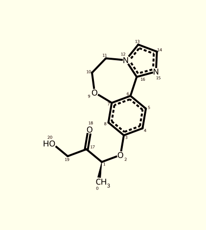 C[C@H](Oc1ccc2c(c1)OCCn1ccnc1-2)C(=O)CO